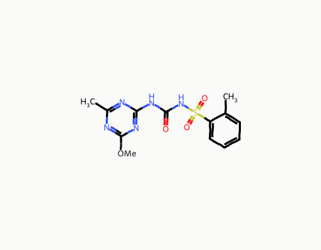 COc1nc(C)nc(NC(=O)NS(=O)(=O)c2ccccc2C)n1